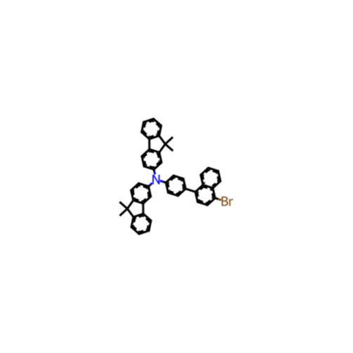 CC1(C)c2ccccc2-c2cc(N(c3ccc(-c4ccc(Br)c5ccccc45)cc3)c3ccc4c(c3)C(C)(C)c3ccccc3-4)ccc21